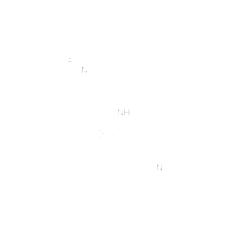 CC(=O)N1CCC(NC(=O)c2[c]cncc2)CC1